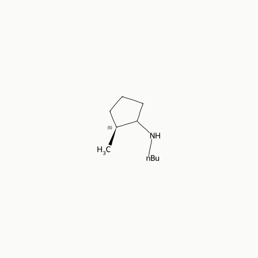 CCCCNC1CCC[C@@H]1C